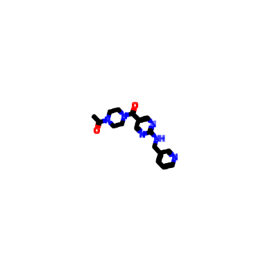 CC(=O)N1CCN(C(=O)c2cnc(NCc3cccnc3)nc2)CC1